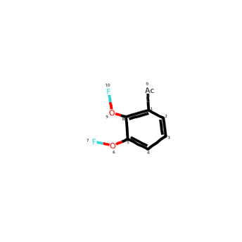 CC(=O)c1cccc(OF)c1OF